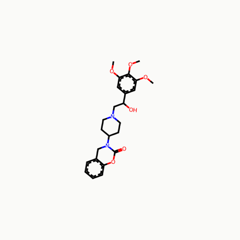 COc1cc(C(O)CN2CCC(N3Cc4ccccc4OC3=O)CC2)cc(OC)c1OC